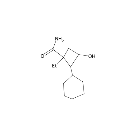 CCC1(C(N)=O)CC(O)C1C1CCCCC1